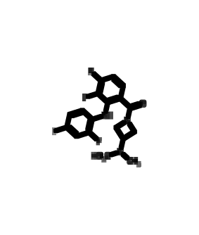 CN(C(=O)O)C1CN(C(=O)c2ccc(F)c(F)c2Nc2ccc(I)cc2F)C1